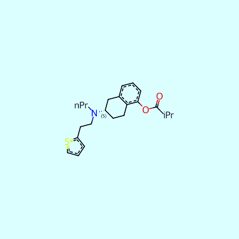 CCCN(CCc1cccs1)[C@H]1CCc2c(cccc2OC(=O)C(C)C)C1